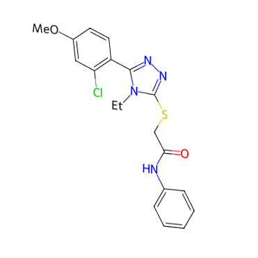 CCn1c(SCC(=O)Nc2ccccc2)nnc1-c1ccc(OC)cc1Cl